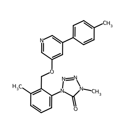 Cc1ccc(-c2cncc(OCc3c(C)cccc3-n3nnn(C)c3=O)c2)cc1